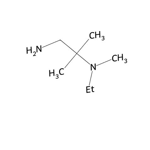 CCN(C)C(C)(C)CN